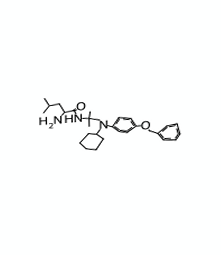 CC(C)CC(N)C(=O)NC(C)(C)CN(c1ccc(OCc2ccccc2)cc1)C1CCCCC1